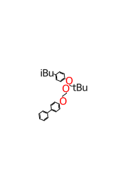 CCC(C)c1ccc(OC(OCCOc2ccc(-c3ccccc3)cc2)C(C)(C)C)cc1